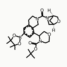 CC(C)(C)OC(=O)N1CCOCC1c1cc(B2OC(C)(C)C(C)(C)O2)cc2c1CN(C(=O)N1C[C@H]3C[C@@H]1CO3)CC2